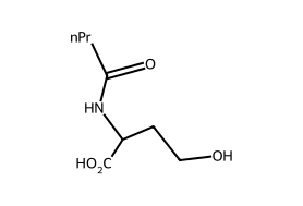 CCCC(=O)NC(CCO)C(=O)O